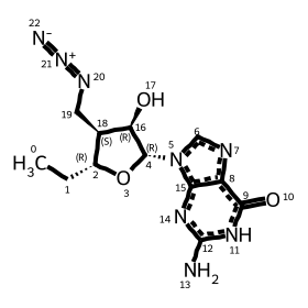 CC[C@H]1O[C@@H](n2cnc3c(=O)[nH]c(N)nc32)[C@H](O)[C@@H]1CN=[N+]=[N-]